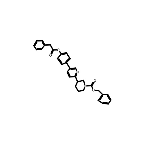 O=C(Cc1ccccc1)Oc1ccc(-c2ccc(C3CCCN(C(=O)OCc4ccccc4)C3)nc2)cc1